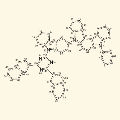 c1ccc(-n2c3ccccc3c3c4c5ccccc5n(-c5ccc6c(c5)c5ccccc5n6-c5nc(-c6ccc7ccccc7c6)nc(-c6ccc7ccccc7c6)n5)c4ccc32)cc1